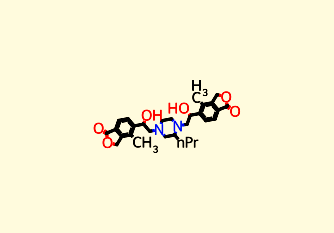 CCCC1CN(CC(O)c2ccc3c(c2C)COC3=O)CCN1CC(O)c1ccc2c(c1C)COC2=O